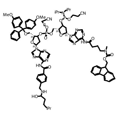 COc1ccc(C(OC[C@H]2O[C@@H](n3cnc4c(NC(=O)c5ccc(CNC(O)CCC(C)C)cc5)ncnc43)CC2OP(=O)(OCCC#N)OC[C@H]2O[C@@H](n3cnc4c(NC(=O)CCCN(C)C(=O)OCC5c6ccccc6-c6ccccc65)ncnc43)CC2OP(OCCC#N)N(C(C)C)C(C)C)(c2ccccc2)c2ccc(OC)cc2)cc1